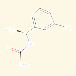 COC(=O)N[C@@H](C(=O)O)c1cccc(C)c1